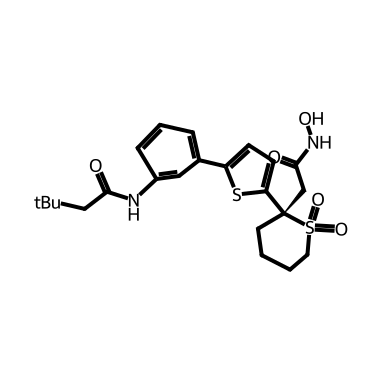 CC(C)(C)CC(=O)Nc1cccc(-c2ccc([C@@]3(CC(=O)NO)CCCCS3(=O)=O)s2)c1